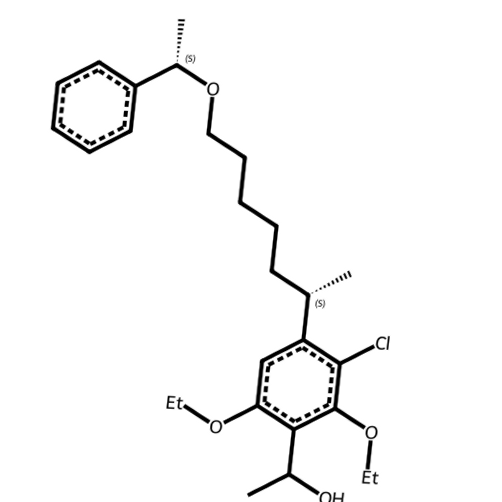 CCOc1cc([C@@H](C)CCCCCO[C@@H](C)c2ccccc2)c(Cl)c(OCC)c1C(C)O